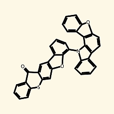 O=c1c2ccccc2sc2cc3oc4c(-n5c6ccccc6c6ccc7oc8ccccc8c7c65)cccc4c3cc12